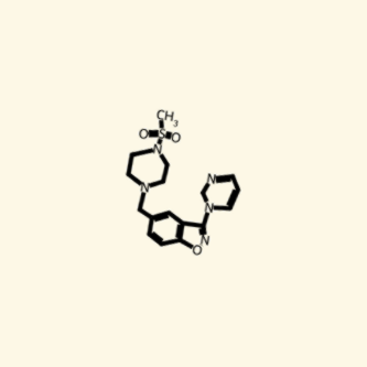 CS(=O)(=O)N1CCN(Cc2ccc3onc(N4C=CC=NC4)c3c2)CC1